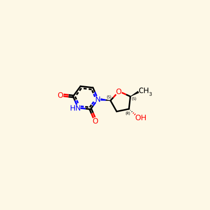 C[C@@H]1O[C@H](n2ccc(=O)[nH]c2=O)C[C@H]1O